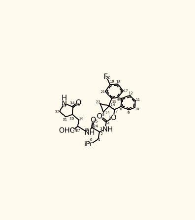 CC(C)CC(NC(=O)OC(c1ccccc1)C1(c2cccc(F)c2)CC1)C(=O)NC(C=O)CC1CCNC1=O